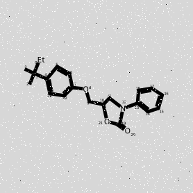 CCC(C)(C)c1ccc(OCC2CN(c3ccccc3)C(=O)O2)cc1